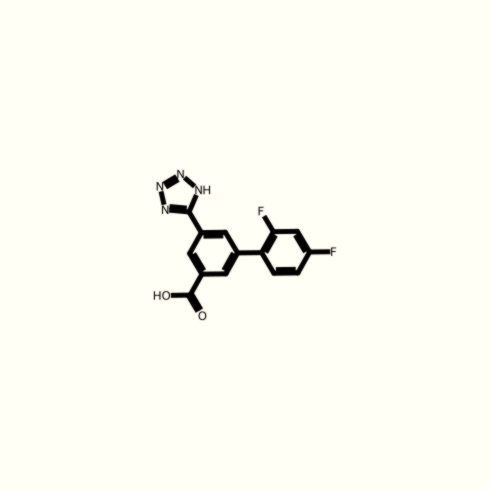 O=C(O)c1cc(-c2nnn[nH]2)cc(-c2ccc(F)cc2F)c1